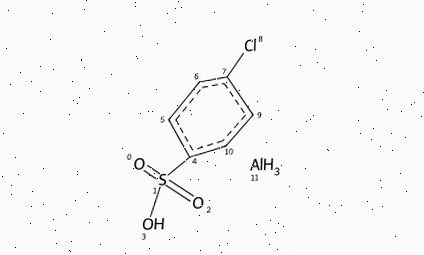 O=S(=O)(O)c1ccc(Cl)cc1.[AlH3]